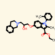 CCOC(=O)c1c(C)n(-c2ccccc2C)c2ccc(OCC(O)CN3CCc4ccccc4C3)cc12